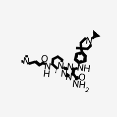 C[C@@H]1[C@H](NC(=O)/C=C/CN(C)C)CCCN1c1nnc(C(N)=O)c(Nc2ccc(C3(C)CCN(C4CC4)CC3)cc2)n1